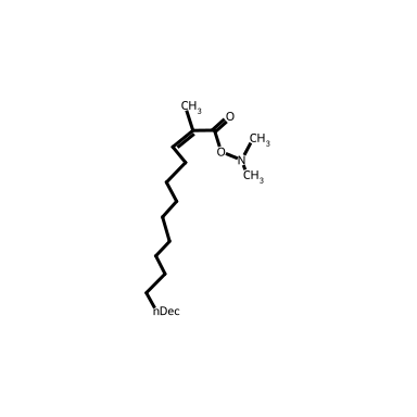 CCCCCCCCCCCCCCCCCCC=C(C)C(=O)ON(C)C